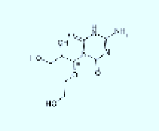 Nc1nc(=O)n([C@H](OCCO)C(O)CO)c(=O)[nH]1